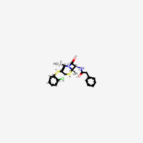 O=C(Cc1ccccc1)N[C@@H]1C(=O)N2C(C(=O)O)=C(Sc3ccccc3Cl)CS[C@@H]12